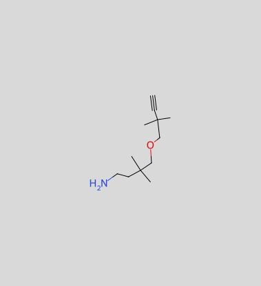 C#CC(C)(C)COCC(C)(C)CCN